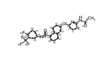 CC(=O)Nc1nccc(Oc2ccc3c(C(=O)Nc4ccc(F)c(C(F)(F)F)c4)cccc3c2)n1